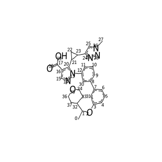 CC(Oc1cccc(-c2cccc(-n3ncc(C(=O)O)c3C3CC3c3cn(C)nn3)c2)c1)C1CCOCC1